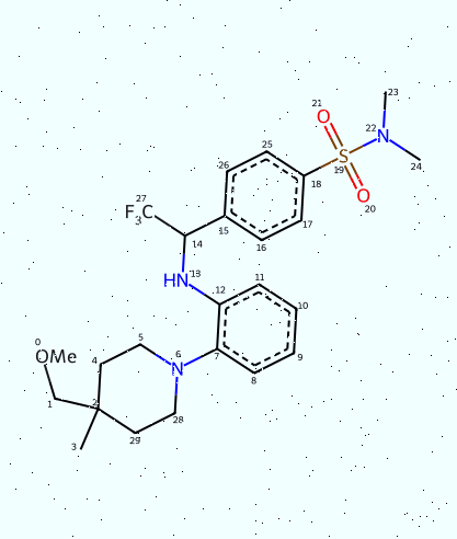 COCC1(C)CCN(c2ccccc2NC(c2ccc(S(=O)(=O)N(C)C)cc2)C(F)(F)F)CC1